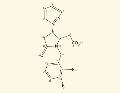 O=C(O)CC1C(c2ccccc2)CC(=O)N1Cc1cccc(F)c1F